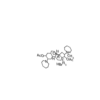 Br.CC(=O)OC1CC2CC[C@@H]3[C@@H](CC[C@]4(C)C(OC(C)=O)C([N+]5(C)CCCCCC5)C[C@@H]34)[C@@]2(C)CC1N1CCCCCC1